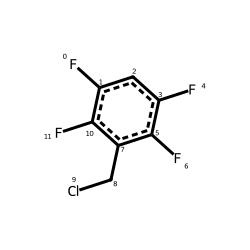 Fc1cc(F)c(F)c(CCl)c1F